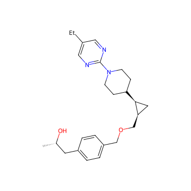 CCc1cnc(N2CCC([C@H]3C[C@H]3COCc3ccc(C[C@H](C)O)cc3)CC2)nc1